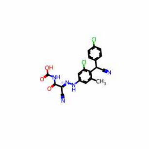 Cc1cc(N/N=C(\C#N)C(=O)NC(=O)O)cc(Cl)c1C(C#N)c1ccc(Cl)cc1